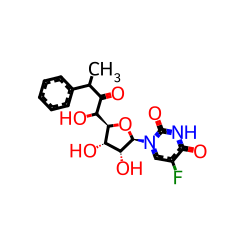 CC(C(=O)C(O)[C@H]1O[C@@H](n2cc(F)c(=O)[nH]c2=O)[C@H](O)[C@@H]1O)c1ccccc1